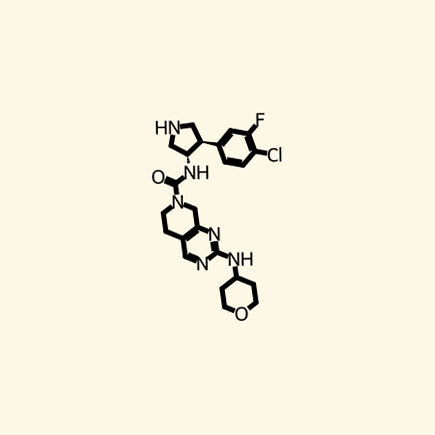 O=C(N[C@@H]1CNC[C@H]1c1ccc(Cl)c(F)c1)N1CCc2cnc(NC3CCOCC3)nc2C1